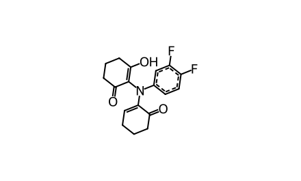 O=C1CCCC=C1N(C1=C(O)CCCC1=O)c1ccc(F)c(F)c1